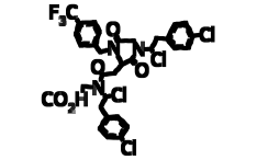 O=C(O)CN(C(=O)CC1C(=O)N(C(Cl)Cc2ccc(Cl)cc2)CC(=O)N1Cc1ccc(C(F)(F)F)cc1)C(Cl)Cc1ccc(Cl)cc1